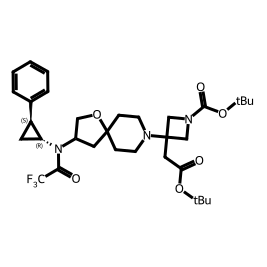 CC(C)(C)OC(=O)CC1(N2CCC3(CC2)CC(N(C(=O)C(F)(F)F)[C@@H]2C[C@H]2c2ccccc2)CO3)CN(C(=O)OC(C)(C)C)C1